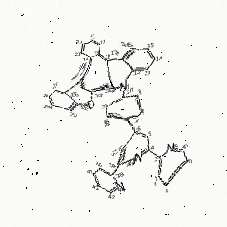 c1ccc(-c2cc(-c3ccc(-n4c5ccccc5c5c6ccccc6c6c7ccccc7oc6c54)cc3)cc(-c3ccccn3)n2)nc1